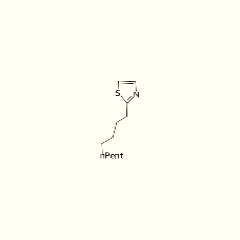 CCCCCCCCCc1nccs1